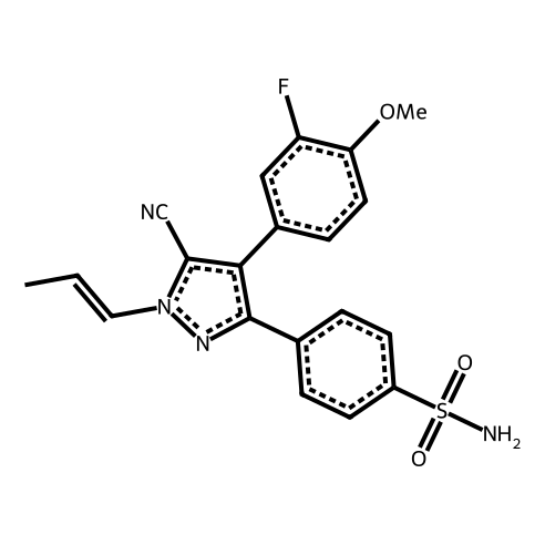 CC=Cn1nc(-c2ccc(S(N)(=O)=O)cc2)c(-c2ccc(OC)c(F)c2)c1C#N